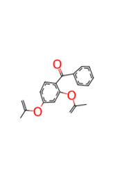 C=C(C)Oc1ccc(C(=O)c2ccccc2)c(OC(=C)C)c1